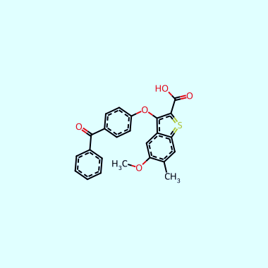 COc1cc2c(Oc3ccc(C(=O)c4ccccc4)cc3)c(C(=O)O)sc2cc1C